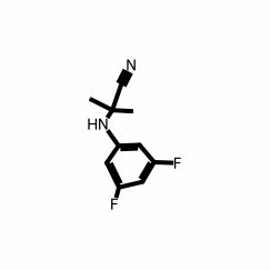 CC(C)(C#N)Nc1cc(F)cc(F)c1